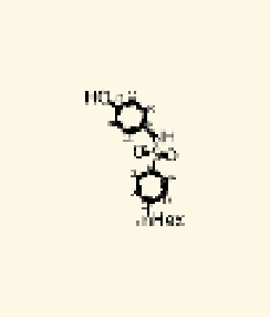 CCCCCCc1ccc(S(=O)(=O)Nc2ccc(O)cc2)cc1